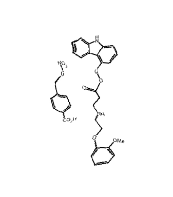 COc1ccccc1OCCNCCC(=O)OOc1cccc2[nH]c3ccccc3c12.O=C(O)c1ccc(CO[N+](=O)[O-])cc1